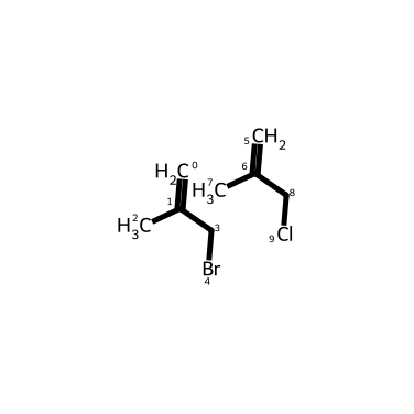 C=C(C)CBr.C=C(C)CCl